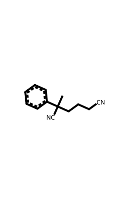 CC(C#N)(CCCC#N)c1ccccc1